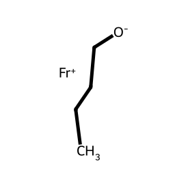 CCCC[O-].[Fr+]